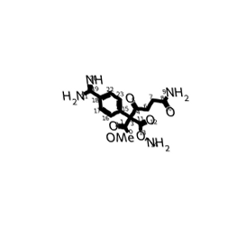 COC(=O)C(C(=O)CCC(N)=O)(C(=O)ON)c1ccc(C(=N)N)cc1